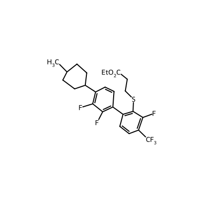 CCOC(=O)CCSc1c(-c2ccc(C3CCC(C)CC3)c(F)c2F)ccc(C(F)(F)F)c1F